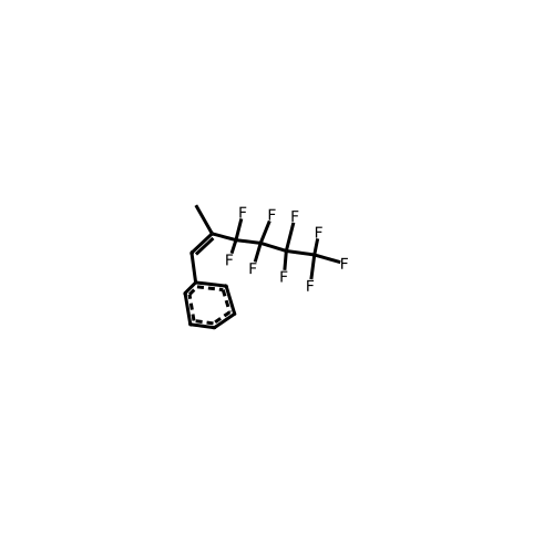 CC(=Cc1ccccc1)C(F)(F)C(F)(F)C(F)(F)C(F)(F)F